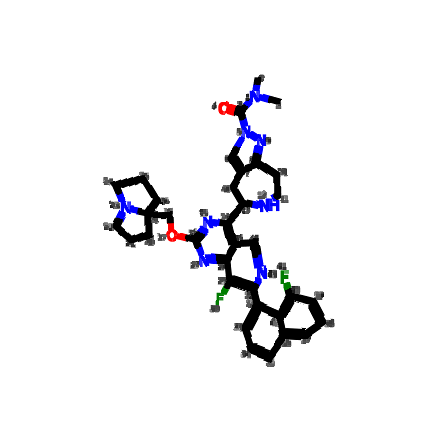 CN(C)C(=O)n1cc2c(n1)CCNC(c1nc(OCC34CCCN3CCC4)nc3c(F)c(-c4cccc5cccc(F)c45)ncc13)C2